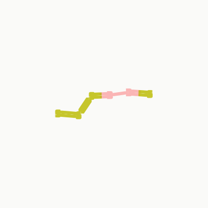 S=BB=S=S=S